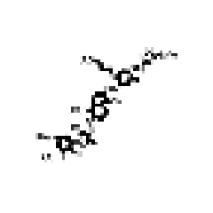 CSc1nnc(N=Nc2cc(OCCCS(=O)(=O)O)c(N=Nc3ccc4c(S(=O)(=O)O)c(N=Nc5c(C)nn(-c6cc(S(=O)(=O)O)cc(C(=O)O)c6O)c5O)ccc4c3O)cc2C)s1